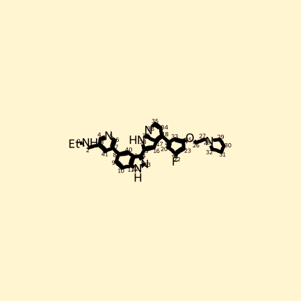 CCNCc1cncc(-c2ccc3[nH]nc(-c4cc5c(-c6cc(F)cc(OCCN7CCCC7)c6)ccnc5[nH]4)c3c2)c1